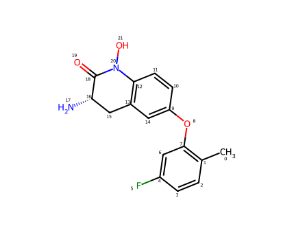 Cc1ccc(F)cc1Oc1ccc2c(c1)C[C@H](N)C(=O)N2O